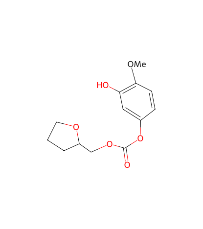 COc1ccc(OC(=O)OCC2CCCO2)cc1O